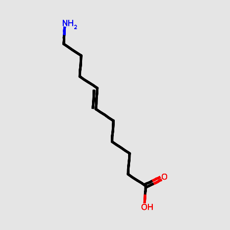 NCCC/C=C/CCCCC(=O)O